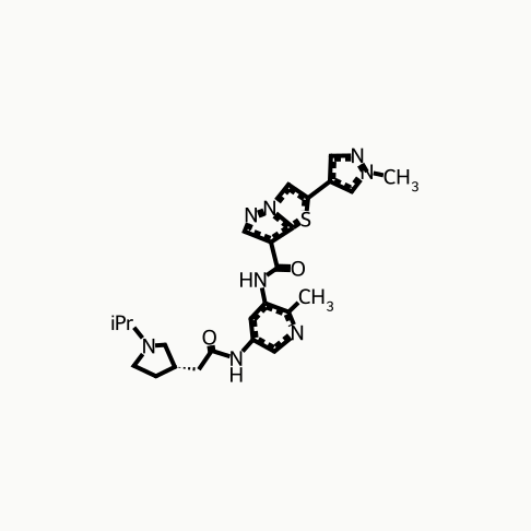 Cc1ncc(NC(=O)C[C@@H]2CCN(C(C)C)C2)cc1NC(=O)c1cnn2cc(-c3cnn(C)c3)sc12